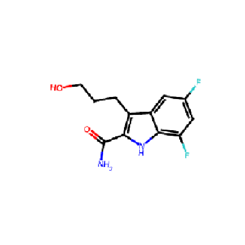 NC(=O)c1[nH]c2c(F)cc(F)cc2c1C[CH]CO